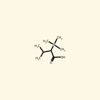 CC(C)C(C(=O)O)[N+](C)(C)C